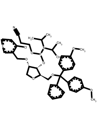 COc1ccc(C(OC[C@H]2OC[C@H](OCc3ccccc3Cl)[C@@H]2OP(OCCC#N)N(C(C)C)C(C)C)(c2ccccc2)c2ccc(OC)cc2)cc1